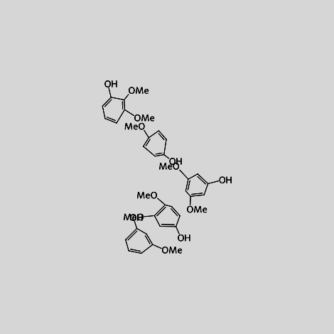 COc1cc(O)cc(OC)c1.COc1ccc(O)cc1.COc1ccc(O)cc1OC.COc1cccc(O)c1.COc1cccc(O)c1OC